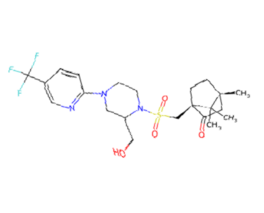 CC1(C)[C@]2(C)CC[C@@]1(CS(=O)(=O)N1CCN(c3ccc(C(F)(F)F)cn3)CC1CO)C(=O)C2